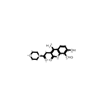 Cc1c(CC(=O)N2CCOCC2)c(=O)oc2c(C=O)c(O)ccc12